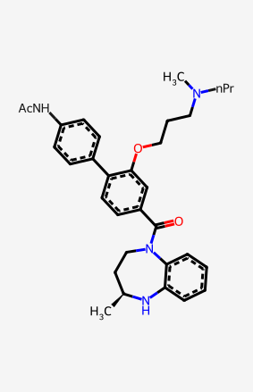 CCCN(C)CCCOc1cc(C(=O)N2CC[C@H](C)Nc3ccccc32)ccc1-c1ccc(NC(C)=O)cc1